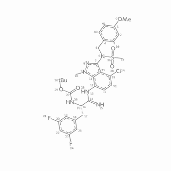 COc1ccc(CN(c2nn(C)c3c(NC(=N)[C@H](Cc4cc(F)cc(F)c4)NC(=O)OC(C)(C)C)ccc(Cl)c23)S(C)(=O)=O)cc1